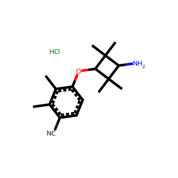 Cc1c(C#N)ccc(OC2C(C)(C)C(N)C2(C)C)c1C.Cl